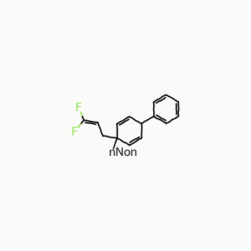 CCCCCCCCCC1(CC=C(F)F)C=CC(c2ccccc2)C=C1